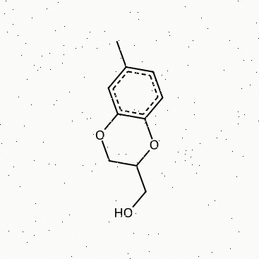 Cc1ccc2c(c1)OCC(CO)O2